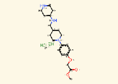 COC(=O)COc1ccc(N2CCC(CNC3CCNCC3)CC2)cc1.Cl.Cl